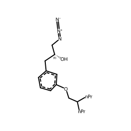 CCCC(CCC)COc1cccc(C[C@@H](O)CN=[N+]=[N-])c1